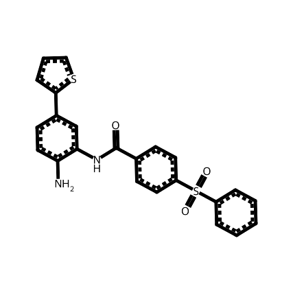 Nc1ccc(-c2cccs2)cc1NC(=O)c1ccc(S(=O)(=O)c2ccccc2)cc1